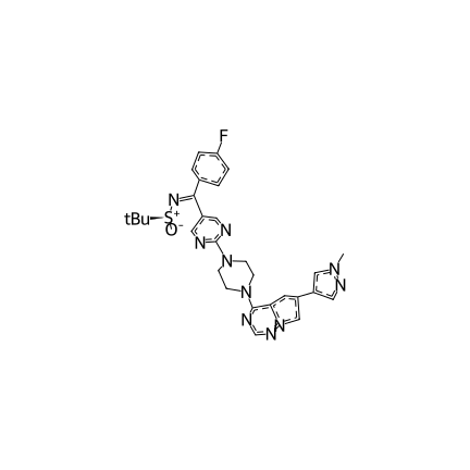 Cn1cc(-c2cc3c(N4CCN(c5ncc(/C(=N\[S@@+]([O-])C(C)(C)C)c6ccc(F)cc6)cn5)CC4)ncnn3c2)cn1